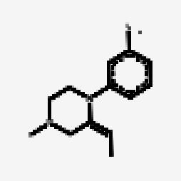 C/C=C1\CN(C)CCN1c1cccc(N)c1